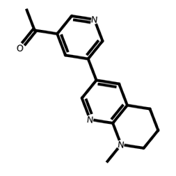 CC(=O)c1cncc(-c2cnc3c(c2)CCCN3C)c1